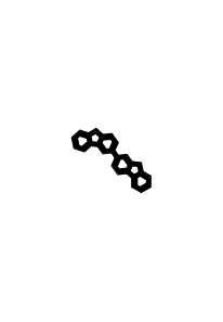 c1ccc2c(c1)Cc1cc(-c3ccc4c(c3)-c3ccccc3C4)ccc1-2